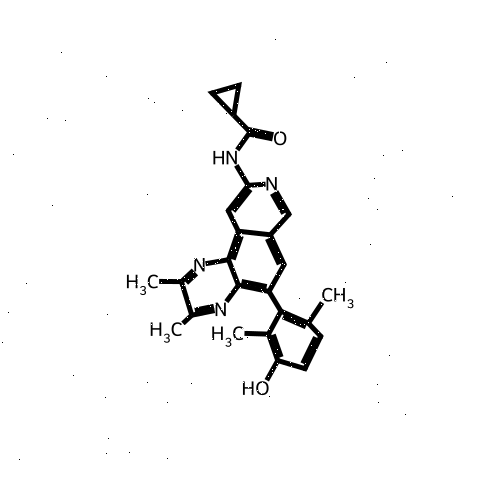 Cc1ccc(O)c(C)c1-c1cc2cnc(NC(=O)C3CC3)cc2c2nc(C)c(C)nc12